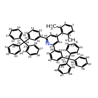 Cc1cccc(C)c1-c1cc(-c2cccc(C(c3ccccc3)(c3ccccc3)c3ccccc3)c2)nc(-c2cccc(C(c3ccccc3)(c3ccccc3)c3ccccc3)c2)c1